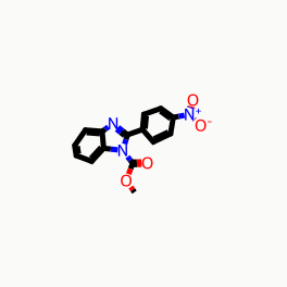 COC(=O)n1c(-c2ccc([N+](=O)[O-])cc2)nc2ccccc21